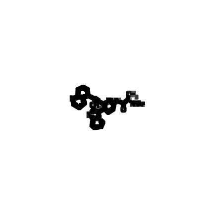 CN[C@@H](C)C(=O)Nc1ccc(-c2c(C)nc3ccccn23)c(C#Cc2cccc3ncccc23)n1